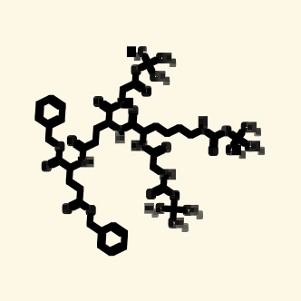 CC(C)(C)OC(=O)CNC(=O)C(CCC(=O)NC(CCC(=O)OCc1ccccc1)C(=O)OCc1ccccc1)NC(=O)C(CCCCNC(=O)OC(C)(C)C)NC(=O)CNC(=O)OC(C)(C)C